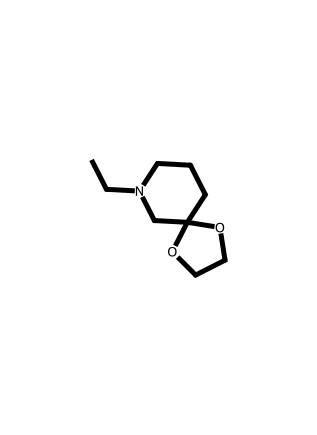 CCN1CCCC2(C1)OCCO2